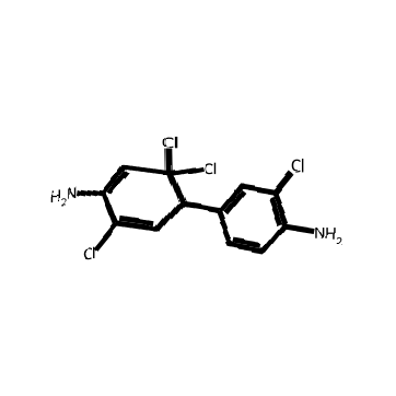 NC1=CC(Cl)(Cl)C(c2ccc(N)c(Cl)c2)C=C1Cl